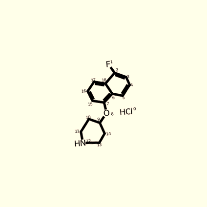 Cl.Fc1cccc2c(OC3CCNCC3)cccc12